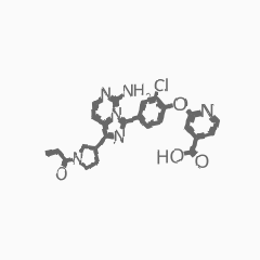 C=CC(=O)N1CCC(c2nc(-c3ccc(Oc4cc(C(=O)O)ccn4)c(Cl)c3)n3c(N)nccc23)C1